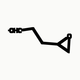 O=[C]CCC1CO1